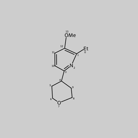 CCc1nc(C2CCOCC2)ccc1OC